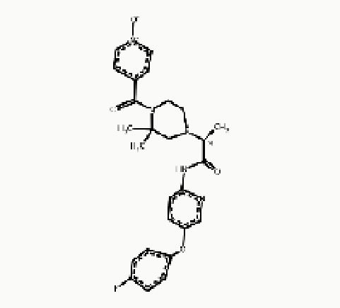 C[C@@H](C(=O)Nc1ccc(Oc2ccc(F)cc2)cn1)N1CCN(C(=O)c2cc[n+]([O-])cc2)C(C)(C)C1